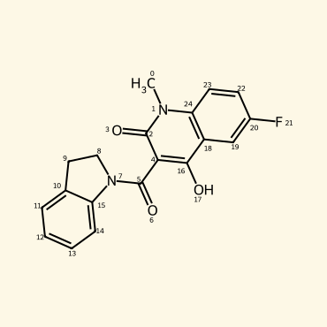 Cn1c(=O)c(C(=O)N2CCc3ccccc32)c(O)c2cc(F)ccc21